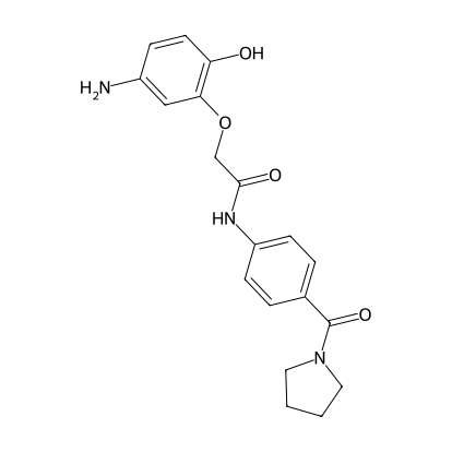 Nc1ccc(O)c(OCC(=O)Nc2ccc(C(=O)N3CCCC3)cc2)c1